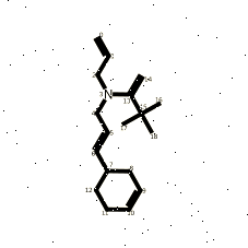 C=CCN(C/C=C/C1CC=CCC1)C(=C)C(C)(C)C